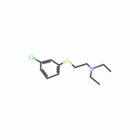 CCN(CC)CCSc1cc[c]c(Cl)c1